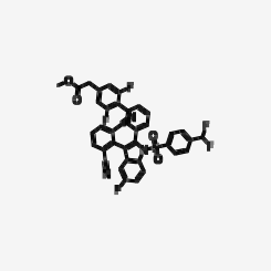 COC(=O)Cc1cc(F)c(-c2cccc(-c3c(-c4c(C#N)cccc4C#N)c4cc(F)ccc4n3S(=O)(=O)c3ccc(C(F)F)cc3)c2)c(F)c1